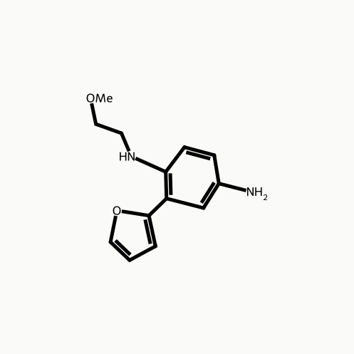 COCCNc1ccc(N)cc1-c1ccco1